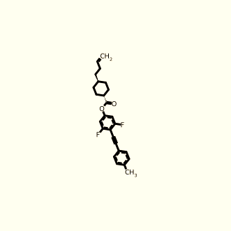 C=CCC[C@H]1CC[C@H](C(=O)Oc2cc(F)c(C#Cc3ccc(C)cc3)c(F)c2)CC1